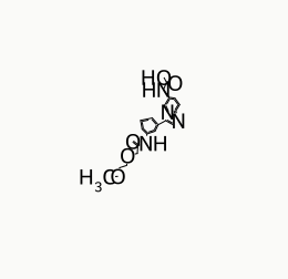 COCCOCC(=O)Nc1cccc(-c2cnc3ccc(NC(=O)O)cn23)c1